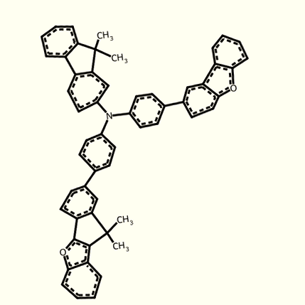 CC1(C)c2ccccc2-c2ccc(N(c3ccc(-c4ccc5c(c4)C(C)(C)c4c-5oc5ccccc45)cc3)c3ccc(-c4ccc5oc6ccccc6c5c4)cc3)cc21